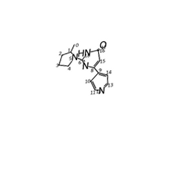 CC1CCCN1c1nc(-c2ccncc2)cc(=O)[nH]1